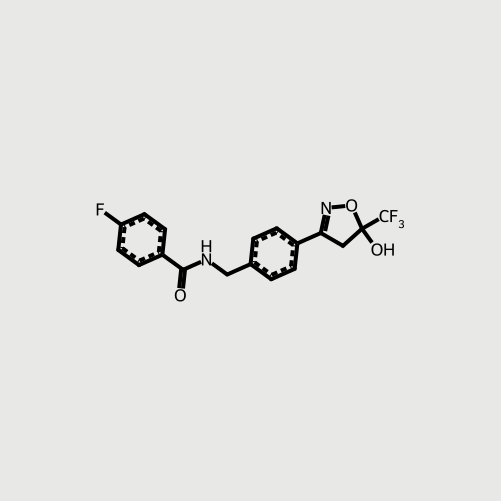 O=C(NCc1ccc(C2=NOC(O)(C(F)(F)F)C2)cc1)c1ccc(F)cc1